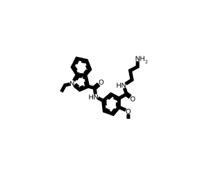 CCn1cc(C(=O)Nc2ccc(OC)c(C(=O)NCCCN)c2)c2ccccc21